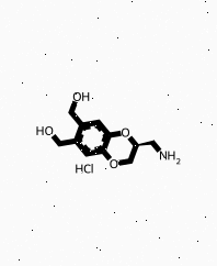 Cl.NC[C@H]1COc2cc(CO)c(CO)cc2O1